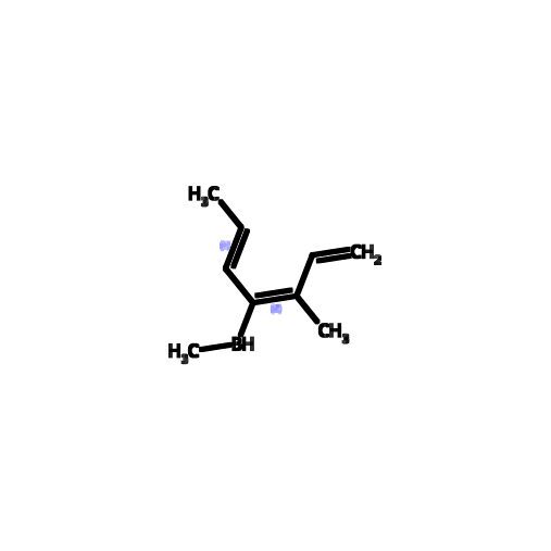 C=C/C(C)=C(BC)\C=C\C